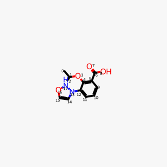 CC(C)Oc1c(C(=O)O)cccc1N1C=CON1